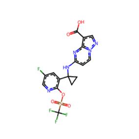 O=C(O)c1cnn2ccc(NC3(c4cc(F)cnc4OS(=O)(=O)C(F)(F)F)CC3)nc12